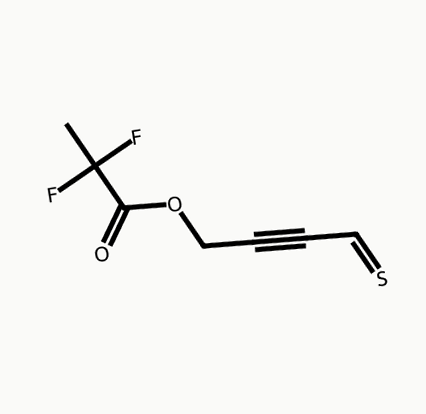 CC(F)(F)C(=O)OCC#CC=S